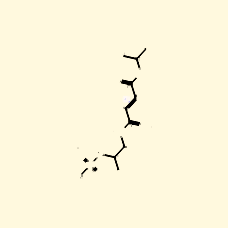 CC(COC(=O)/C=C/C(=O)OC(C)C)NS(C)(=O)=O